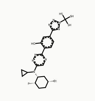 CC[C@@H]1CC[C@H](F)[C@H](N(c2cnc(-c3ccc(-c4nnn(C(S)(S)S)n4)cc3O)nn2)C2CC2)C1